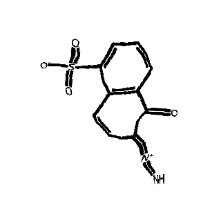 N=[N+]=C1C=Cc2c(cccc2S(=O)(=O)[O-])C1=O